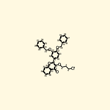 O=c1c(OCCCCl)c(-c2ccc(OCc3ccccc3)c(OCc3ccccc3)c2)oc2ccccc12